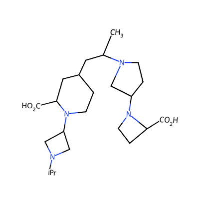 CC(C)N1CC(N2CCC(CC(C)N3CCC(N4CCC4C(=O)O)C3)CC2C(=O)O)C1